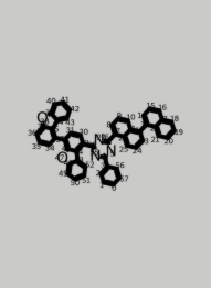 c1ccc(-c2nc(-c3cccc4c(-c5cccc6ccccc56)cccc34)nc(-c3ccc(-c4cccc5oc6ccccc6c45)c4oc5ccccc5c34)n2)cc1